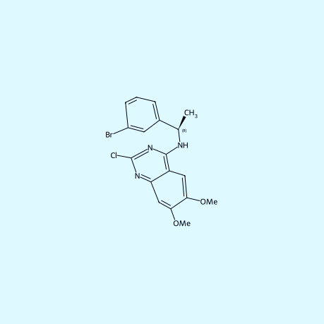 COc1cc2nc(Cl)nc(N[C@H](C)c3cccc(Br)c3)c2cc1OC